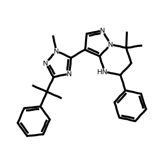 Cn1nc(C(C)(C)c2ccccc2)nc1-c1cnn2c1NC(c1ccccc1)CC2(C)C